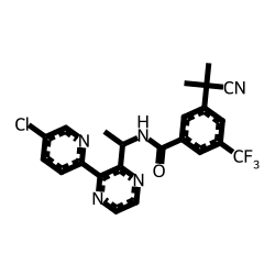 CC(NC(=O)c1cc(C(F)(F)F)cc(C(C)(C)C#N)c1)c1nccnc1-c1ccc(Cl)cn1